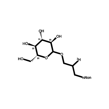 [2H]C(CCCCCCCCCC)COC1O[C@H](CO)[C@@H](O)[C@H](O)[C@H]1O